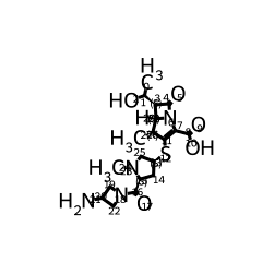 CC(O)[C@H]1C(=O)N2C(C(=O)O)=C(S[C@H]3C[C@@H](C(=O)N4CC(N)C4)N(C)C3)[C@H](C)[C@H]12